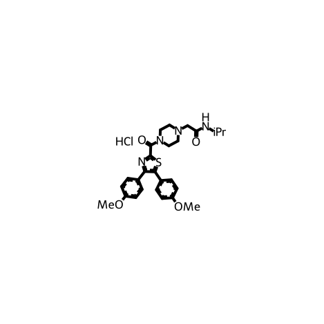 COc1ccc(-c2nc(C(=O)N3CCN(CC(=O)NC(C)C)CC3)sc2-c2ccc(OC)cc2)cc1.Cl